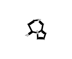 O=c1ccncc2cccn12